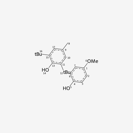 COc1ccc(O)cc1.Cc1cc(C(C)(C)C)c(O)c(C(C)(C)C)c1